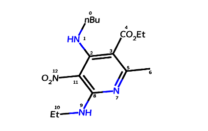 CCCCNc1c(C(=O)OCC)c(C)nc(NCC)c1[N+](=O)[O-]